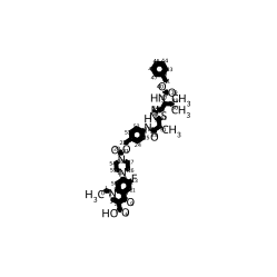 CCn1cc(C(=O)O)c(=O)c2cc(F)c(N3CCN(C(=O)OCc4ccc(NC(=O)[C@@H](C)c5nnc([C@@H](NC(=O)OCc6ccccc6)C(C)C)s5)cc4)CC3)cc21